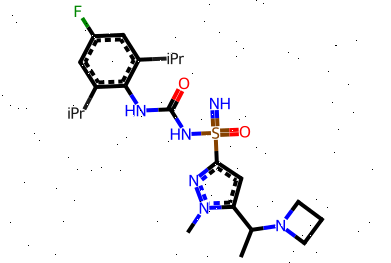 CC(C)c1cc(F)cc(C(C)C)c1NC(=O)NS(=N)(=O)c1cc(C(C)N2CCC2)n(C)n1